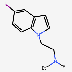 CCN(CC)CCn1ccc2cc(I)ccc21